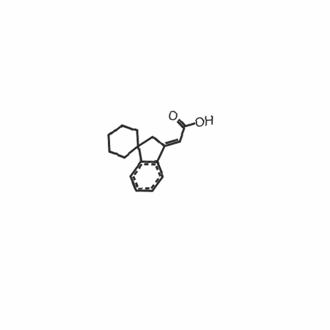 O=C(O)C=C1CC2(CCCCC2)c2ccccc21